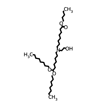 CCCCCCCCOC(CCCCCCN(CCO)CCCCCCCC(=O)OCCCCC)OCCCCCCCC